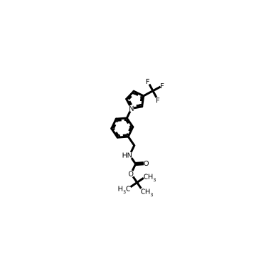 CC(C)(C)OC(=O)NCc1cccc(-n2ccc(C(F)(F)F)c2)c1